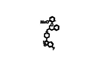 COc1ccc[c]c1OCC(Cc1ccccc1)CN1CCC(c2noc3cc(F)ccc23)CC1